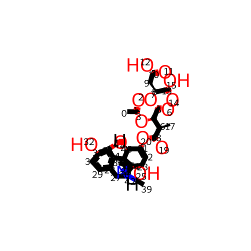 CC(=O)O[C@@H](C(=O)O[C@@H](CC(=O)O)C(=O)O)[C@@H](C)C(=O)OC1=CC[C@@]2(O)[C@H]3Cc4ccc(O)c5c4[C@@]2(CCN3C)[C@H]1O5